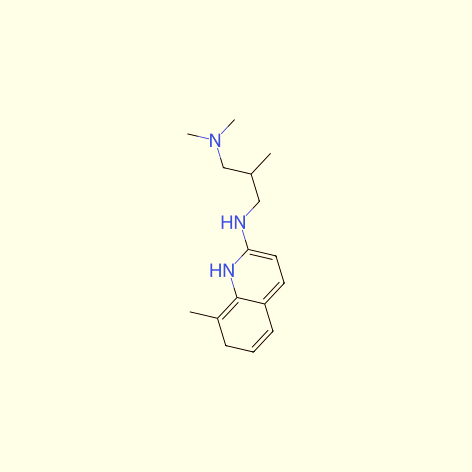 CC1=C2NC(NCC(C)CN(C)C)=CC=C2C=CC1